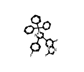 Fc1ccc(-c2nn(C(c3ccccc3)(c3ccccc3)c3ccccc3)cc2-c2cc(F)c3ncc(I)n3c2)cc1